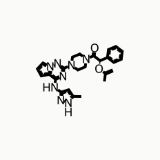 C=C(C)O[C@H](C(=O)N1CCN(c2nc(Nc3cc(C)[nH]n3)c3cccn3n2)CC1)c1ccccc1